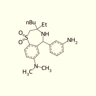 CCCCC1(CC)CS(=O)(=O)c2ccc(N(C)C)cc2C(c2cccc(N)c2)N1